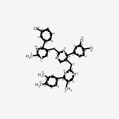 Cc1ncc(Cc2ncc(Cc3ncc(C)c(-c4ccc(C)c(C)c4)n3)c(-c3ccc(Cl)c(Cl)c3)n2)c(-c2cccc(Cl)c2)n1